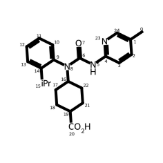 Cc1ccc(NC(=O)N(c2ccccc2C(C)C)C2CCC(C(=O)O)CC2)nc1